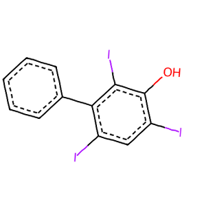 Oc1c(I)cc(I)c(-c2ccccc2)c1I